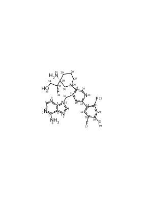 Nc1ncnc2c1ncn2Cc1cc(-c2cc(F)c(F)cc2F)ncc1N1CCC[C@](N)([C@@H](F)CO)C1